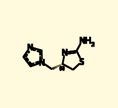 NC1=N[C@@H](Cn2ccnc2)CS1